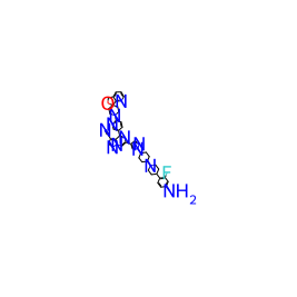 N#Cc1cnn2cc(-c3cnn(C4CCC(N5CCC(c6ccc(N)cc6F)CC5)CC4)c3)nc(-c3ccc(N4CCC5(CC4)OCc4cccnc45)nc3)c12